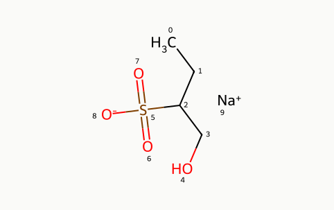 CCC(CO)S(=O)(=O)[O-].[Na+]